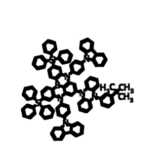 CC(C)(C)c1cccc(N2c3ccccc3N(c3cc4c5c(c3)N(c3ccc(-n6c7ccccc7c7ccccc76)cc3)c3cc([Si](c6ccccc6)(c6ccccc6)c6ccccc6)ccc3B5c3ccc([Si](c5ccccc5)(c5ccccc5)c5ccccc5)cc3N4c3ccc(-n4c5ccccc5c5ccccc54)cc3)c3ccccc32)c1